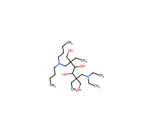 CCCCN(CCCC)CC(CC)(CO)C(O)C(O)C(CC)(CO)CN(CC)CC